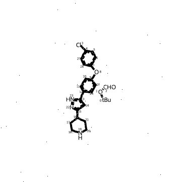 CC(C)(C)OC=O.Clc1ccc(Oc2ccc(-c3cc(C4CCNCC4)n[nH]3)cc2)cc1